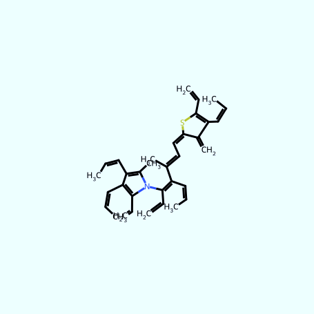 C=C/C(=C(\C=C/C)C(/C)=C/C=c1/sc(C=C)c(/C=C\C)c1=C)n1c(C)c(/C=C\C)c(/C=C\C)c1C=C